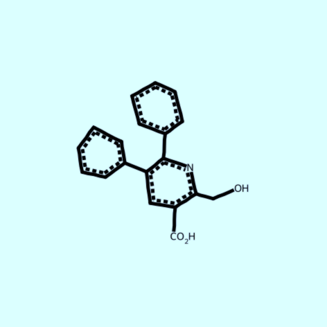 O=C(O)c1cc(-c2ccccc2)c(-c2ccccc2)nc1CO